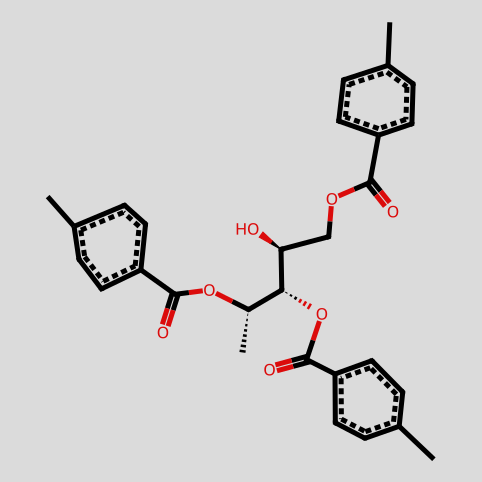 Cc1ccc(C(=O)OC[C@H](O)[C@H](OC(=O)c2ccc(C)cc2)[C@H](C)OC(=O)c2ccc(C)cc2)cc1